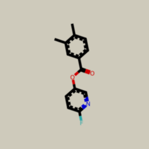 Cc1ccc(C(=O)Oc2ccc(F)nc2)cc1C